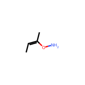 CC=C(C)ON